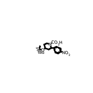 CC(C)(C)[Si](C)(C)OC1CCN(C(=O)O)C(c2ccc([N+](=O)[O-])cc2)C1